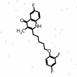 Cc1c(CCCCCOc2ccc(F)cc2F)[nH]c2ccc(F)cc2c1=O